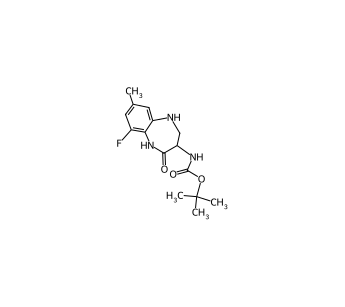 Cc1cc(F)c2c(c1)NCC(NC(=O)OC(C)(C)C)C(=O)N2